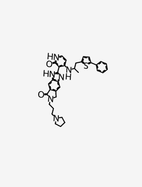 CC(Cc1ccc(-c2ccccc2)s1)Nc1cc[nH]c(=O)c1-c1nc2cc3c(cc2[nH]1)C(=O)N(CCCN1CCCC1)C3